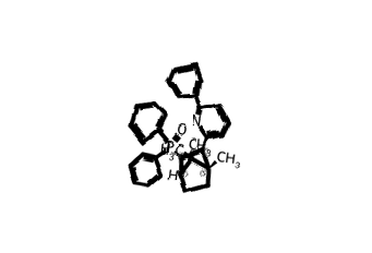 CC1(C)[C@@H]2CC[C@@]1(C)[C@H](c1cccc(-c3ccccc3)n1)[C@H]2P(=O)(c1ccccc1)c1ccccc1